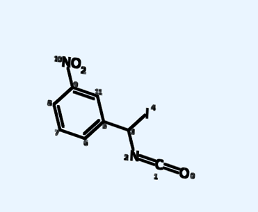 O=C=NC(I)c1cccc([N+](=O)[O-])c1